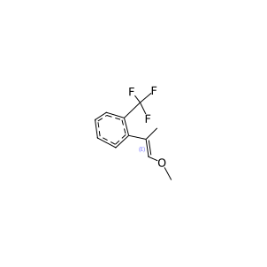 CO/C=C(\C)c1ccccc1C(F)(F)F